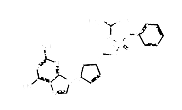 CC(N[P@@](=O)(OC[C@@H]1C=C[C@H](n2cnc3c(N)nc(N)nc32)C1)Oc1ccccc1)C(=O)O